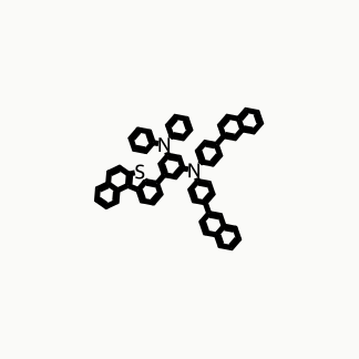 c1ccc(N(c2ccccc2)c2cc(-c3cccc4c3sc3ccc5ccccc5c34)cc(N(c3ccc(-c4ccc5ccccc5c4)cc3)c3ccc(-c4ccc5ccccc5c4)cc3)c2)cc1